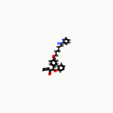 COC(=O)C(Oc1ccccc1)c1ccc(OCCCCCNc2ccccn2)cc1